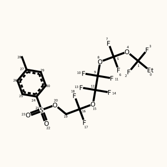 CCC(F)(F)OC(F)(F)OC(F)(F)C(F)(F)OC(F)(F)COS(=O)(=O)c1ccc(C)cc1